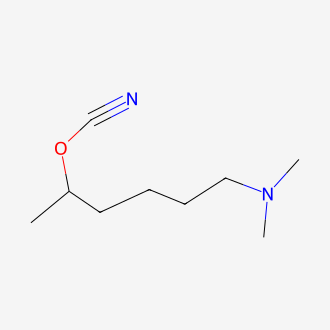 CC(CCCCN(C)C)OC#N